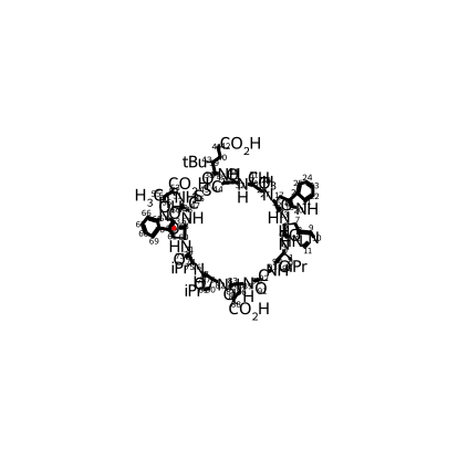 CC(C)C[C@@H]1NC(=O)[C@H](Cc2cnc[nH]2)NC(=O)[C@H](Cc2c[nH]c3ccccc23)NC(=O)[C@H](C)NC(=O)[C@@H](NC(=O)[C@H](CCC(=O)O)C(C)(C)C)CSSC[C@@H](C(=O)N[C@H](C(=O)O)[C@@H](C)O)NC(=O)[C@H](Cc2c[nH]c3ccccc23)NC(=O)[C@H](C(C)C)NC(=O)[C@H](CC(C)C)NC(=O)[C@H](CCC(=O)O)NC(=O)CNC1=O